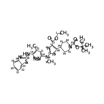 CCOC(=O)c1nc(N(C)c2cc(C)c(Nc3nc4ccccc4s3)nn2)sc1C1CCN(C(=O)OC(C)(C)C)CC1